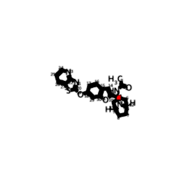 CC(=O)N[C@H]1C[C@H]2CC[C@@H](C1)N2Cc1cc2ccc(Oc3nc4ncccc4s3)cc2o1